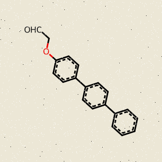 O=CCOc1ccc(-c2ccc(-c3ccccc3)cc2)cc1